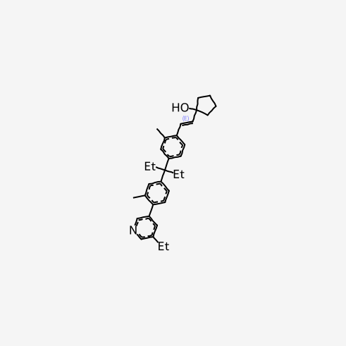 CCc1cncc(-c2ccc(C(CC)(CC)c3ccc(/C=C/C4(O)CCCC4)c(C)c3)cc2C)c1